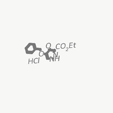 CCOC(=O)c1n[nH]cc(OCc2ccccc2)c1=O.Cl